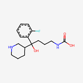 O=C(O)NCCCC(O)(c1ccccc1F)C1CCCNC1